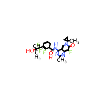 Cc1nc(N[C@H](O)C2CC=CC(C(F)(F)C(C)(C)O)=C2F)c2cn(C3(C)CC3)c(=O)c(F)c2n1